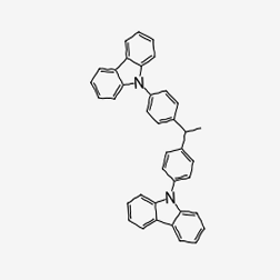 CC(c1ccc(-n2c3ccccc3c3ccccc32)cc1)c1ccc(-n2c3ccccc3c3ccccc32)cc1